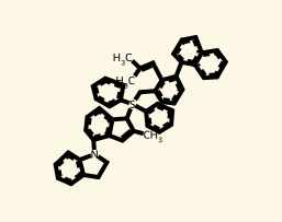 CC(C)=Cc1c(CS(c2ccccc2)(c2ccccc2)C2C(C)=Cc3c2cccc3N2CCc3ccccc32)cccc1-c1cccc2ccccc12